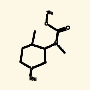 CCC(C)N1CCC(C)C(N(C)C(=O)OC(C)(C)C)C1